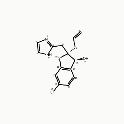 C=CC[C@@]1(Cc2ncc[nH]2)Sc2cc(Cl)ccc2[C@@H]1O